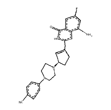 N#Cc1ccc(N2CCN([C@H]3C=C(c4cc5c(N)cc(F)cc5c(=O)[nH]4)CC3)CC2)cc1